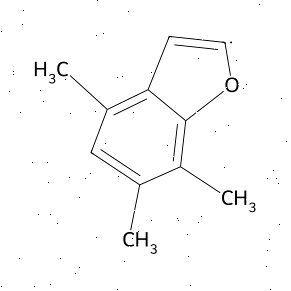 Cc1cc(C)c2c[c]oc2c1C